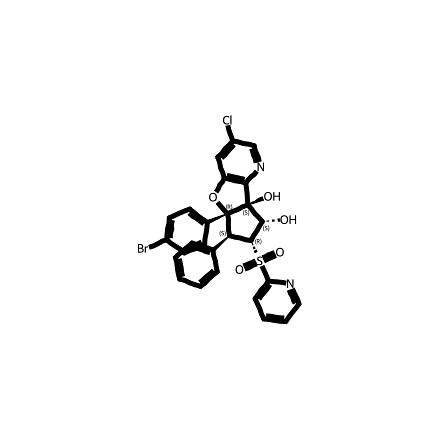 O=S(=O)(c1ccccn1)[C@H]1[C@@H](O)[C@@]2(O)c3ncc(Cl)cc3O[C@@]2(c2ccc(Br)cc2)[C@@H]1c1ccccc1